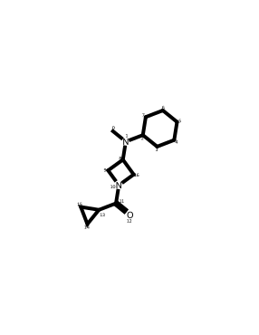 CN(C1CCCCC1)C1CN(C(=O)C2CC2)C1